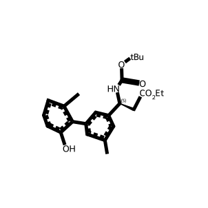 CCOC(=O)C[C@H](NC(=O)OC(C)(C)C)c1cc(C)cc(-c2c(C)cccc2O)c1